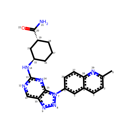 Cc1ccc2cc(-n3nnc4cnc(N[C@@H]5CCC[C@@H](C(N)=O)C5)nc43)ccc2n1